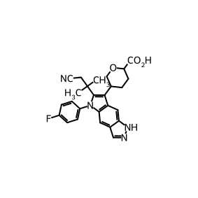 CC(C)(CC#N)c1c(C2CCC(C(=O)O)OC2)c2cc3[nH]ncc3cc2n1-c1ccc(F)cc1